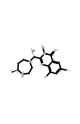 CCC[C@H](c1nc2c(F)cc(F)cc2c(=O)n1CC)N1CCN[C@@H](C)CC1